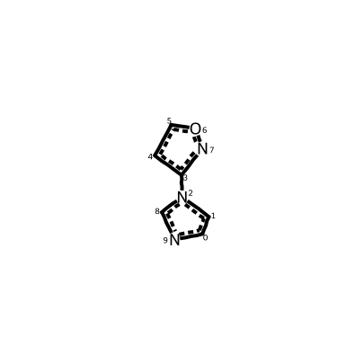 c1cn(-c2ccon2)cn1